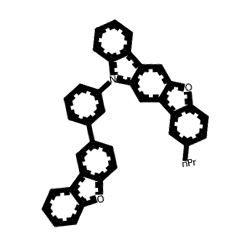 CCCc1ccc2oc3cc4c5ccccc5n(-c5cccc(-c6ccc7oc8ccccc8c7c6)c5)c4cc3c2c1